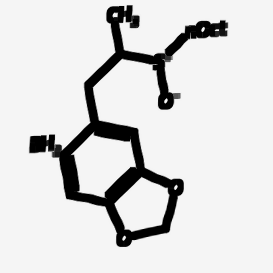 B.CCCCCCCC[S+]([O-])C(C)Cc1ccc2c(c1)OCO2